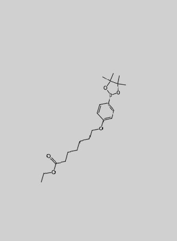 CCOC(=O)CCCCCCOc1ccc(B2OC(C)(C)C(C)(C)O2)cc1